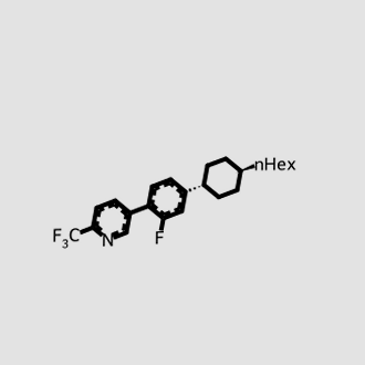 CCCCCC[C@H]1CC[C@H](c2ccc(-c3ccc(C(F)(F)F)nc3)c(F)c2)CC1